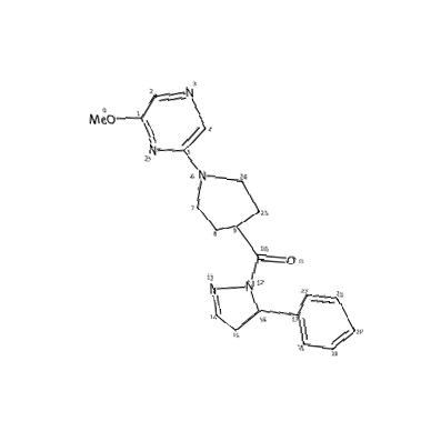 COc1cncc(N2CCC(C(=O)N3N=CCC3c3ccccc3)CC2)n1